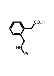 CC(C)NCc1ccccc1CC(=O)O